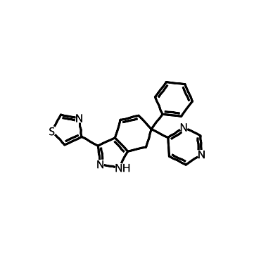 C1=CC(c2ccccc2)(c2ccncn2)Cc2[nH]nc(-c3cscn3)c21